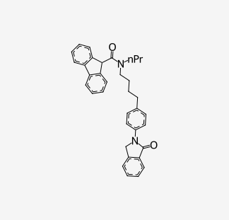 CCCN(CCCCc1ccc(N2Cc3ccccc3C2=O)cc1)C(=O)C1c2ccccc2-c2ccccc21